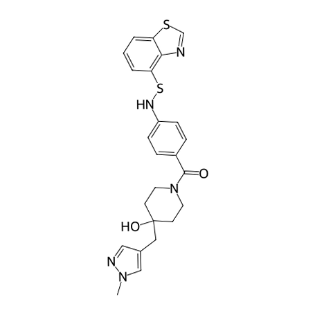 Cn1cc(CC2(O)CCN(C(=O)c3ccc(NSc4cccc5scnc45)cc3)CC2)cn1